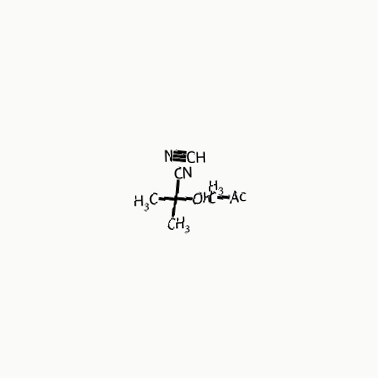 C#N.CC(C)(O)C#N.CC(C)=O